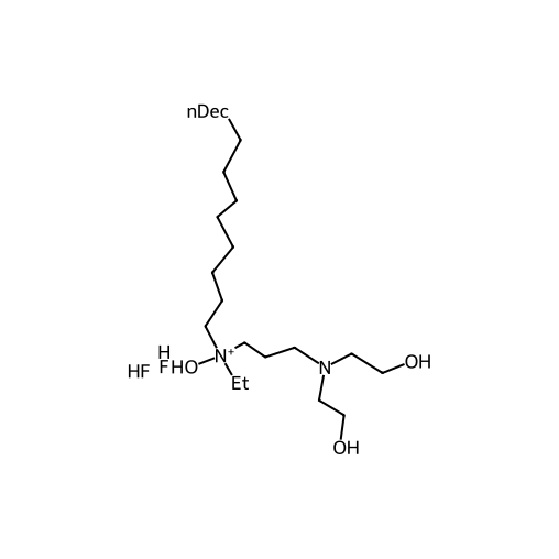 CCCCCCCCCCCCCCCCCC[N+](O)(CC)CCCN(CCO)CCO.F.F